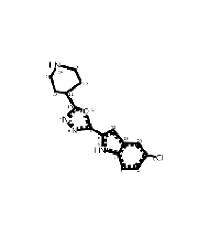 Clc1ccc2[nH]c(-c3nnc(C4CCNCC4)o3)cc2c1